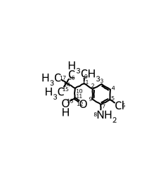 C[C@@H](c1ccc(Cl)c(N)c1)C(C(=O)O)C(C)(C)C